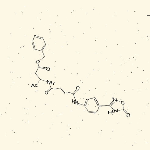 CC(=O)[C@H](CC(=O)OCc1ccccc1)NC(=O)CCC(=O)Nc1ccc(-c2noc(=O)[nH]2)cc1